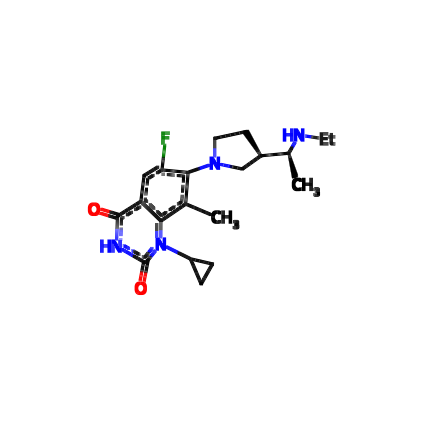 CCN[C@@H](C)[C@@H]1CCN(c2c(F)cc3c(=O)[nH]c(=O)n(C4CC4)c3c2C)C1